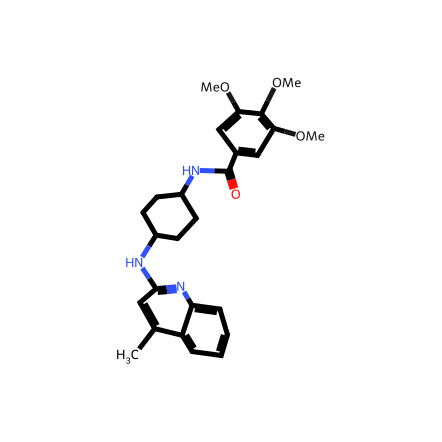 COc1cc(C(=O)NC2CCC(Nc3cc(C)c4ccccc4n3)CC2)cc(OC)c1OC